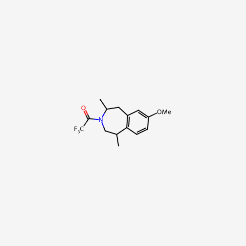 COc1ccc2c(c1)CC(C)N(C(=O)C(F)(F)F)CC2C